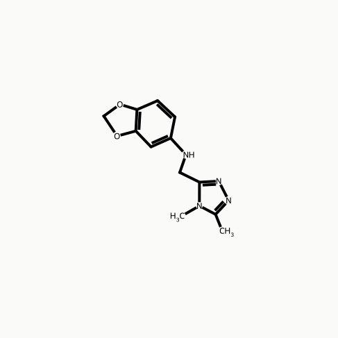 Cc1nnc(CNc2ccc3c(c2)OCO3)n1C